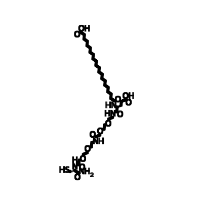 NC(=O)[C@H](CS)NC(=O)COCCOCCNC(=O)COCCOCCNC(=O)[C@H](CCC(=O)O)NC(=O)CCCCCCCCCCCCCCCCCCCCC(=O)O